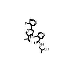 C=C(C)c1cnc(-c2cnccc2F)cc1Nc1ccncc1C(=O)NCC(C)O